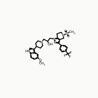 COc1ccc2[nH]cc(C3CCN(CC(O)Cn4nc(-c5ccc(C(F)(F)F)cc5)c5c4CCN(S(C)(=O)=O)C5)CC3)c2c1